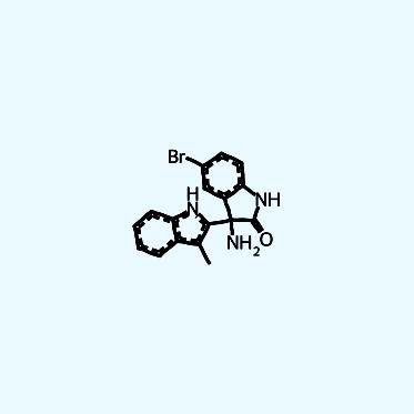 Cc1c(C2(N)C(=O)Nc3ccc(Br)cc32)[nH]c2ccccc12